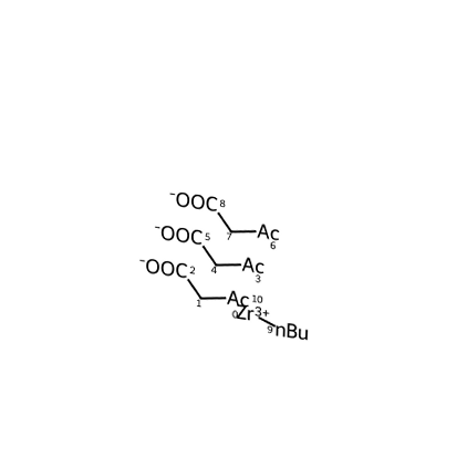 CC(=O)CC(=O)[O-].CC(=O)CC(=O)[O-].CC(=O)CC(=O)[O-].CCC[CH2][Zr+3]